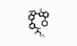 CCC(=O)Nc1cncc(-c2cc3c(-c4cc5c(N6CCCCC6)ccnc5[nH]4)n[nH]c3cn2)c1